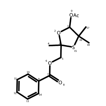 CC(=O)OC1OC(C)(COC(=O)c2ccccc2)SC1(C)C